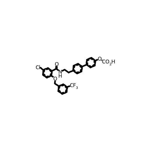 O=C(O)Oc1ccc(-c2ccc(CCNC(=O)c3cc(Cl)ccc3OCc3cccc(C(F)(F)F)c3)cc2)cc1